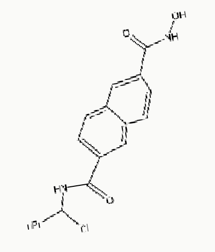 CCCC(Cl)NC(=O)c1ccc2cc(C(=O)NO)ccc2c1